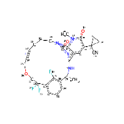 C[C@H]1Nc2nc(=O)n(c3c2cc(C2(C#N)CC2)c(=O)n3C)CCC/C=C\COCC(F)(F)c2cccc1c2F